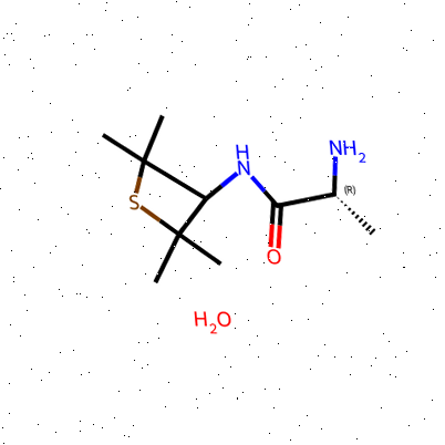 C[C@@H](N)C(=O)NC1C(C)(C)SC1(C)C.O